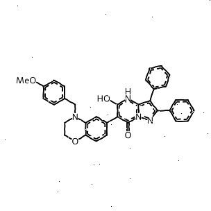 COc1ccc(CN2CCOc3ccc(-c4c(O)[nH]c5c(-c6ccccc6)c(-c6ccccc6)nn5c4=O)cc32)cc1